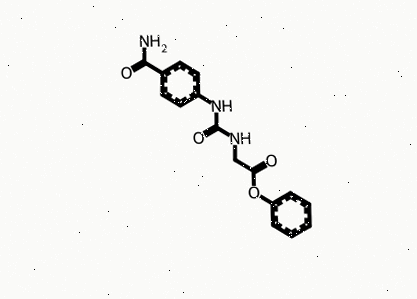 NC(=O)c1ccc(NC(=O)NCC(=O)Oc2ccccc2)cc1